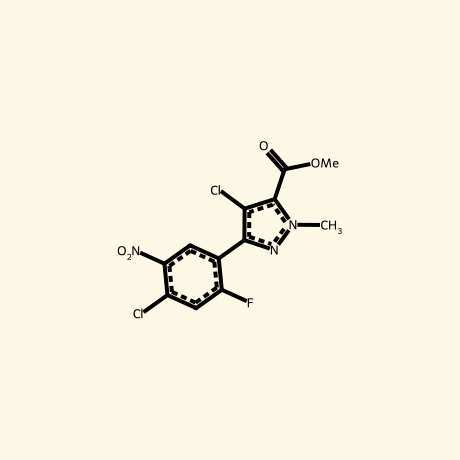 COC(=O)c1c(Cl)c(-c2cc([N+](=O)[O-])c(Cl)cc2F)nn1C